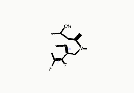 C=C(CC(C)O)N(C)CC(=C/C)/C(F)=C(\C)F